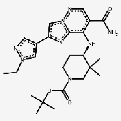 CCn1cc(-c2cn3ncc(C(N)=O)c(N[C@@H]4CCN(C(=O)OC(C)(C)C)CC4(C)C)c3n2)cn1